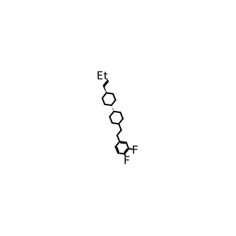 CC/C=C/[C@H]1CC[C@H](C2CCC(CCc3ccc(F)c(F)c3)CC2)CC1